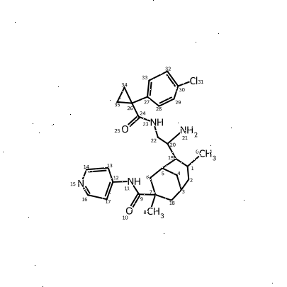 CC1CC2CC(CC(C)(C(=O)Nc3ccncc3)C2)C1C(N)CNC(=O)C1(c2ccc(Cl)cc2)CC1